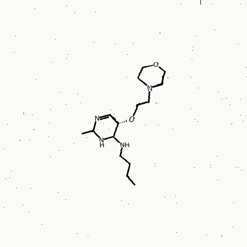 CCCCNC1NC(C)N=C[C@@H]1OCCN1CCOCC1